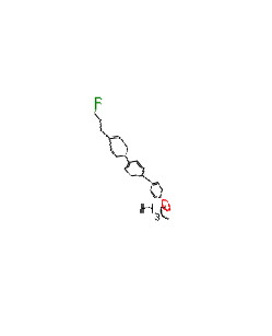 COC1C=CC(C2C=CC(C3CCC(CCCF)CC3)=CC2)=CC1